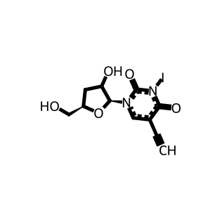 C#Cc1cn([C@H]2O[C@@H](CO)CC2O)c(=O)n(I)c1=O